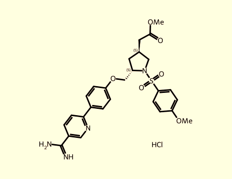 COC(=O)C[C@@H]1C[C@@H](COc2ccc(-c3ccc(C(=N)N)cn3)cc2)N(S(=O)(=O)c2ccc(OC)cc2)C1.Cl